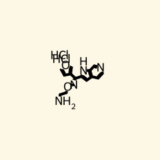 Cl.Cl.NCCON=C(c1ccoc1)c1cc2ccncc2[nH]1